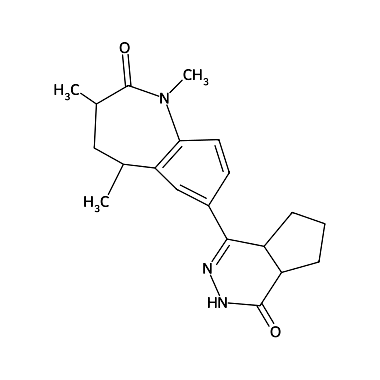 CC1CC(C)c2cc(C3=NNC(=O)C4CCCC34)ccc2N(C)C1=O